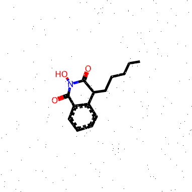 CCCCCC1C(=O)N(O)C(=O)c2ccccc21